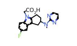 CN(c1ncccn1)C1CCc2c(c3cc(F)ccc3n2CC(=O)O)C1